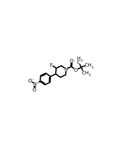 CC(C)(C)OC(=O)N1CCC(c2ccc([N+](=O)[O-])cc2)C(F)C1